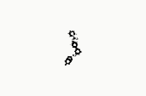 CC1CC2CC(C1)CC(OO[C@@H]1CCCC(c3ccc(OC(=O)N4CCNCC4)cc3)C1)C2